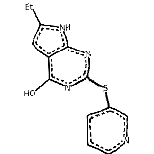 CCc1cc2c(O)nc(Sc3cccnc3)nc2[nH]1